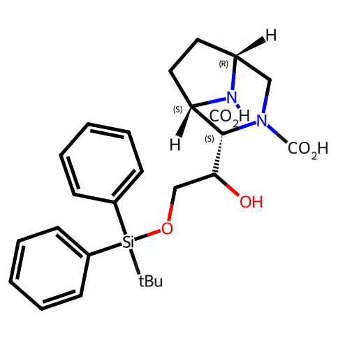 CC(C)(C)[Si](OCC(O)[C@@H]1[C@@H]2CC[C@H](CN1C(=O)O)N2C(=O)O)(c1ccccc1)c1ccccc1